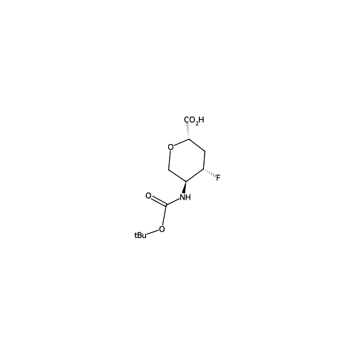 CC(C)(C)OC(=O)N[C@H]1CO[C@H](C(=O)O)C[C@@H]1F